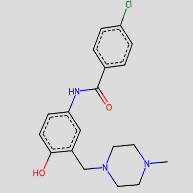 CN1CCN(Cc2cc(NC(=O)c3ccc(Cl)cc3)ccc2O)CC1